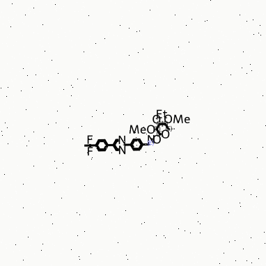 CCO[C@@H]1[C@@H](OC)[C@H](C)O[C@@H](O/N=C/c2ccc(-c3ncc(-c4ccc(C(C)(F)F)cc4)cn3)cc2)[C@@H]1OC